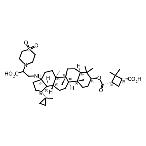 CC1([C@@H]2CC[C@]3(NCC(C(=O)O)N4CCS(=O)(=O)CC4)CC[C@]4(C)[C@H](CC[C@@H]5[C@@]6(C)CC[C@H](OC(=O)[C@H]7C[C@@H](C(=O)O)C7(C)C)C(C)(C)[C@@H]6CC[C@]54C)[C@@H]23)CC1